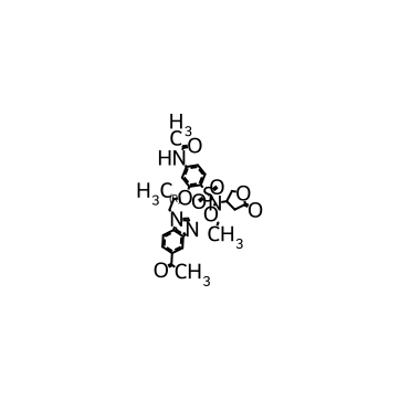 CCON(C1COC(=O)C1)S(=O)(=O)c1ccc(NC(C)=O)cc1O[C@H](C)Cn1cnc2cc(C(C)=O)ccc21